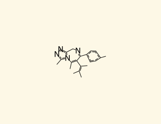 CC(C)=C(C)C1=C(C)n2c(C)nnc2CN=C1c1ccc(C)cc1